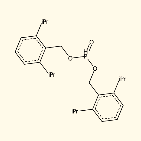 CC(C)c1cccc(C(C)C)c1CO[PH](=O)OCc1c(C(C)C)cccc1C(C)C